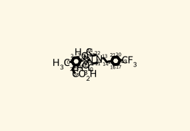 Cc1ccc(S(=O)(=O)N2C(C)CN(CCc3ccc(C(F)(F)F)cc3)C[C@@H]2C)cc1CC(=O)O